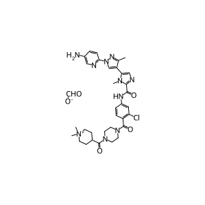 Cc1nn(-c2ccc(N)cn2)cc1-c1cnc(C(=O)Nc2ccc(C(=O)N3CCN(C(=O)C4CC[N+](C)(C)CC4)CC3)c(Cl)c2)n1C.O=C[O-]